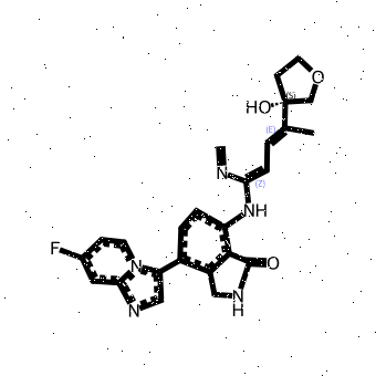 C=N/C(=C\C=C(/C)[C@@]1(O)CCOC1)Nc1ccc(-c2cnc3cc(F)ccn23)c2c1C(=O)NC2